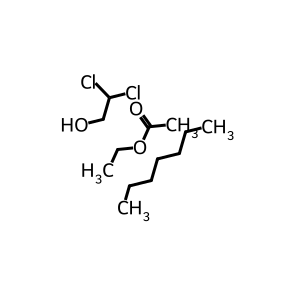 CCCCCCC.CCOC(C)=O.OCC(Cl)Cl